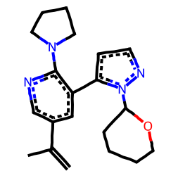 C=C(C)c1cnc(N2CCCC2)c(-c2ccnn2C2CCCCO2)c1